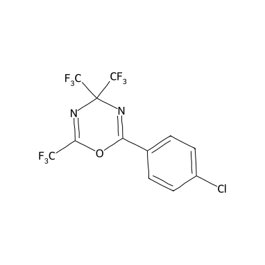 FC(F)(F)C1=NC(C(F)(F)F)(C(F)(F)F)N=C(c2ccc(Cl)cc2)O1